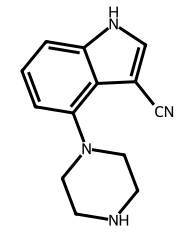 N#Cc1c[nH]c2cccc(N3CCNCC3)c12